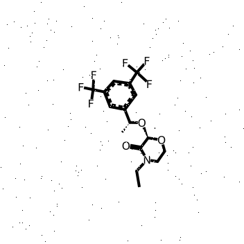 CCN1CCO[C@H](O[C@H](C)c2cc(C(F)(F)F)cc(C(F)(F)F)c2)C1=O